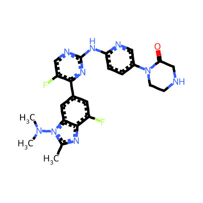 Cc1nc2c(F)cc(-c3nc(Nc4ccc(N5CCNCC5=O)cn4)ncc3F)cc2n1N(C)C